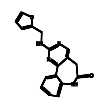 O=C1Cc2cnc(NCc3ccco3)nc2-c2ccccc2N1